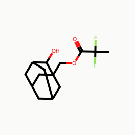 CC(F)(F)C(=O)OCC12CC3CC(CC(C3)C1O)C2